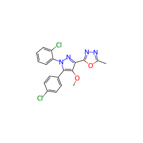 COc1c(-c2nnc(C)o2)nn(-c2ccccc2Cl)c1-c1ccc(Cl)cc1